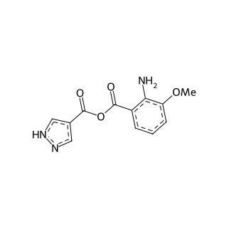 COc1cccc(C(=O)OC(=O)c2cn[nH]c2)c1N